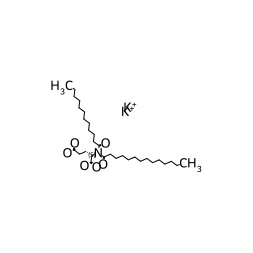 CCCCCCCCCCCCCC(=O)N(C(=O)CCCCCCCCCCC)[C@@H](CCC(=O)[O-])C(=O)[O-].[K+].[K+]